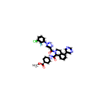 COC(=O)[C@H]1CC[C@H](NC(=O)C2c3cccc(-c4cncnc4)c3CCN2C(=O)c2cn(-c3cccc(Cl)c3F)nn2)CC1